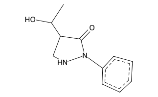 CC(O)C1CNN(c2ccccc2)C1=O